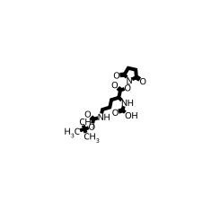 CC(C)(C)OC(=O)NCCCC(NC(=O)O)C(=O)ON1C(=O)CCC1=O